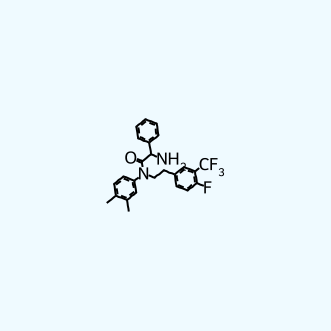 Cc1ccc(N(CCc2ccc(F)c(C(F)(F)F)c2)C(=O)C(N)c2ccccc2)cc1C